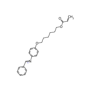 C=CC(=O)OCCCCCCOc1ccc(/N=C/c2ccccc2)cc1